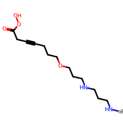 CCCCCNCCCNCCCOCCCC#CCC(=O)OO